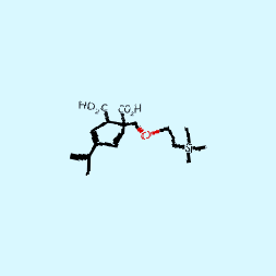 C=C(C)C1=CC(C(=O)O)C(COCC[Si](C)(C)C)(C(=O)O)C=C1